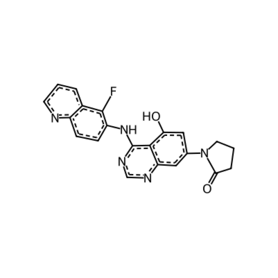 O=C1CCCN1c1cc(O)c2c(Nc3ccc4ncccc4c3F)ncnc2c1